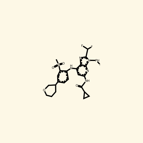 CS(=O)(=O)c1cc(C2CCCOC2)ccc1Nc1cc(NC(=O)C2CC2)nc2c1nc(C(F)F)n2PI